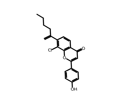 C=C(CCCC)c1ccc2c(=O)cc(-c3ccc(O)cc3)oc2c1Cl